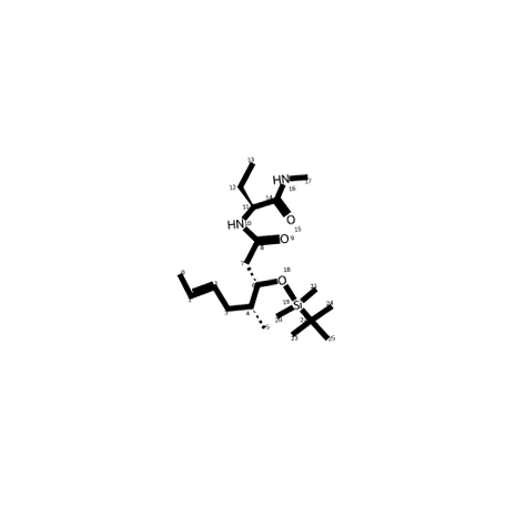 C/C=C/C[C@@H](C)[C@H](CC(=O)N[C@@H](CC)C(=O)NC)O[Si](C)(C)C(C)(C)C